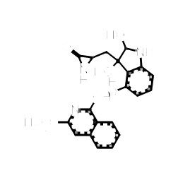 O=C(O)c1cc2ccccc2c(O)n1.O=C1NC1CC1(O)c2c(O)cccc2NC1O